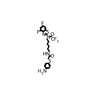 Nc1ccc(SCC(=O)NCCCCCCN(C(=O)C(F)(F)F)c2nc3c(F)cc(F)cc3s2)cc1